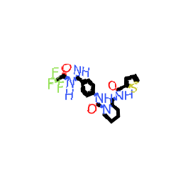 N=C(NC(=O)C(F)(F)F)c1ccc(NC(=O)N2CCCCC2CNC(=O)c2cccs2)cc1